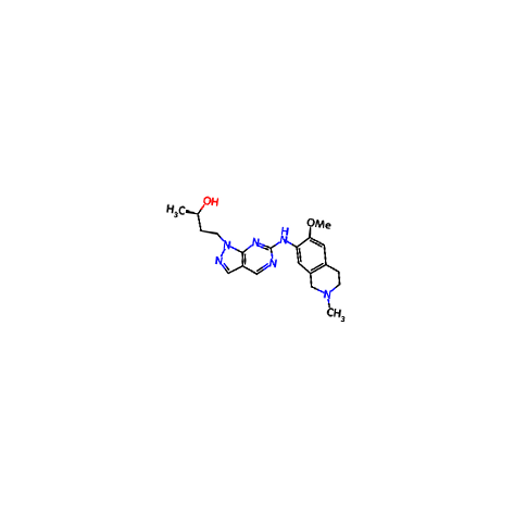 COc1cc2c(cc1Nc1ncc3cnn(CC[C@@H](C)O)c3n1)CN(C)CC2